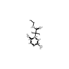 CCOC(=O)C(C)(C)n1nc(Cl)ccc1=O